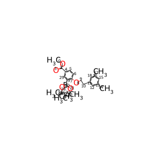 COC(=O)c1ccc(OCCc2cc(C)cc(C)c2)c(B2OC(C)(C)C(C)(C)O2)c1